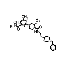 CCN(C)C(=O)c1cc(C)nc(N2CCN(C(=O)NCCC3CCN(Cc4ccccc4)CC3)[C@H](C)C2)n1